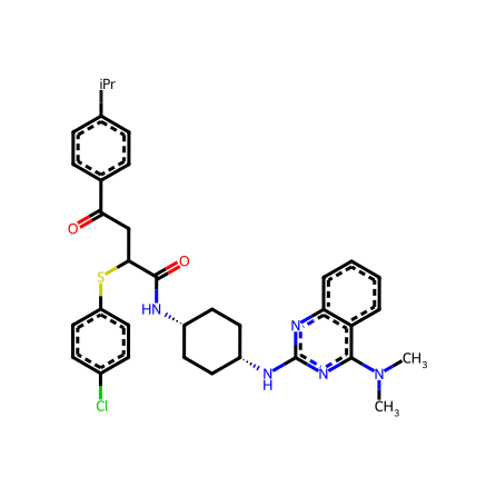 CC(C)c1ccc(C(=O)CC(Sc2ccc(Cl)cc2)C(=O)N[C@H]2CC[C@@H](Nc3nc(N(C)C)c4ccccc4n3)CC2)cc1